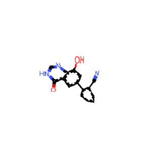 N#Cc1ccccc1-c1cc(O)c2nc[nH]c(=O)c2c1